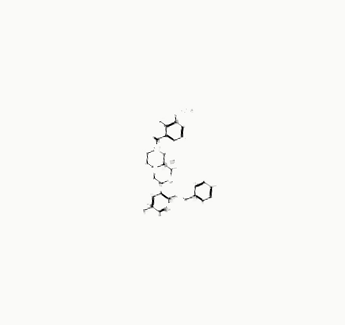 COc1cccc(C(=O)N2CCN3C[C@H](c4cc(Cl)cnc4OCc4ccccc4)OC[C@@H]3C2)c1Cl